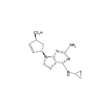 Nc1nc(NC2CC2)c2ncn([C@H]3C=C[C@@H](C(=O)O)C3)c2n1